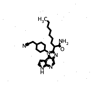 CCCCCCCC(C(N)=O)c1nc2cnc3[nH]ccc3c2n1C1CCC(CC#N)CC1